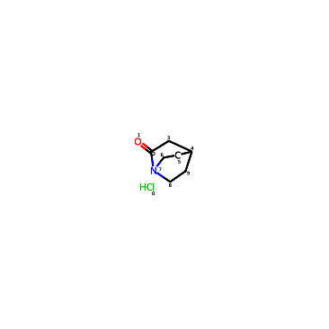 Cl.O=C1CC2CCN1CC2